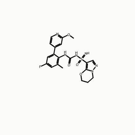 COc1cc(-c2cc(F)cc(C)c2NC(=O)NS(=N)(=O)c2cnn3c2OCCC3)ccn1